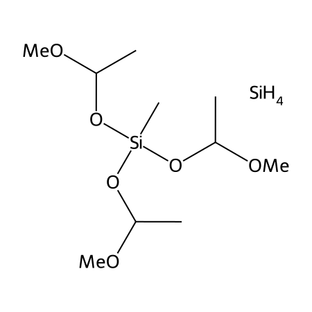 COC(C)O[Si](C)(OC(C)OC)OC(C)OC.[SiH4]